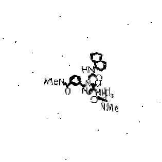 CNC(=O)c1cccc(-c2ncc(NC(=O)[C@H](C)NC)c(=O)n2CC(=O)N[C@@H]2CCCc3ccccc32)c1